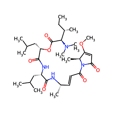 CC[C@H](C)[C@H](C(=O)O[C@@H](CC(C)C)C(=O)N[C@@H](CC(C)C)C(=O)N[C@@H](C)/C=C/C(=O)N1C(=O)C=C(OC)[C@@H]1C)N(C)C